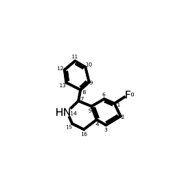 Fc1ccc2c(c1)C(c1ccccc1)NCC2